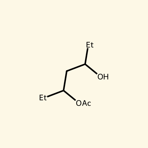 CCC(O)CC(CC)OC(C)=O